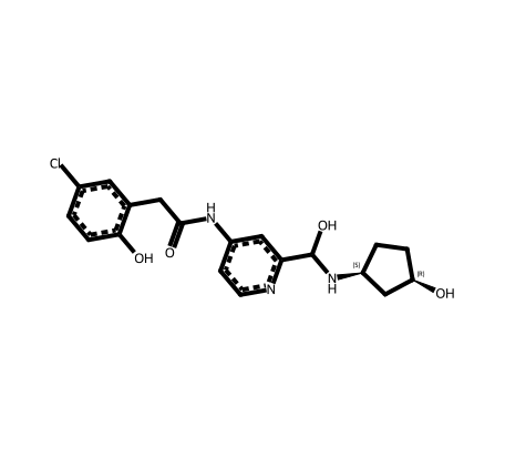 O=C(Cc1cc(Cl)ccc1O)Nc1ccnc(C(O)N[C@H]2CC[C@@H](O)C2)c1